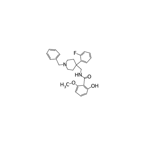 COc1cccc(O)c1C(=O)NCC1(c2ccccc2F)CCN(Cc2ccccc2)CC1